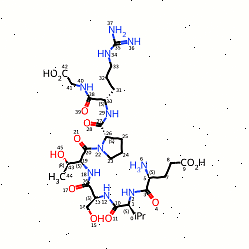 CC(C)[C@H](NC(=O)[C@@H](N)CCC(=O)O)C(=O)N[C@@H](CO)C(=O)N[C@H](C(=O)N1CCC[C@H]1C(=O)N[C@@H](CCCNC(=N)N)C(=O)NCC(=O)O)[C@@H](C)O